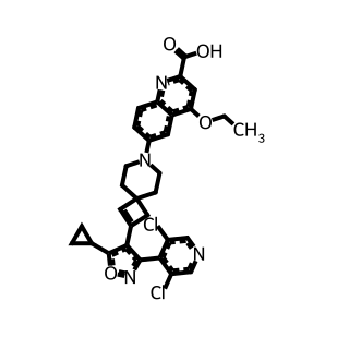 CCOc1cc(C(=O)O)nc2ccc(N3CCC4(C=C(c5c(-c6c(Cl)cncc6Cl)noc5C5CC5)C4)CC3)cc12